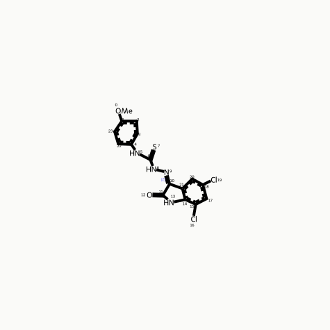 COc1ccc(NC(=S)N/N=C2\C(=O)Nc3c(Cl)cc(Cl)cc32)cc1